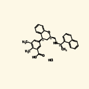 Cc1cc([C@@H]2C[C@H](CN[C@H](C)c3cccc4ccccc34)Oc3ccccc32)cc(C(=O)O)c1C.Cl